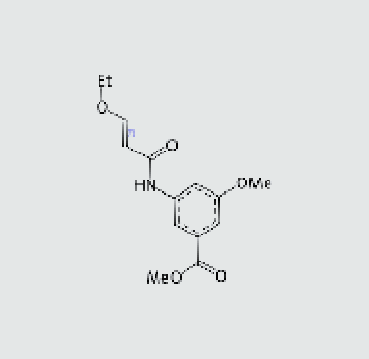 CCO/C=C/C(=O)Nc1cc(OC)cc(C(=O)OC)c1